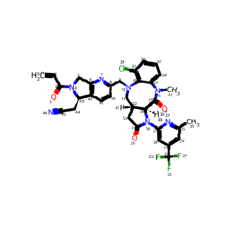 C=CC(=O)N1Cc2nc(CN3C[C@H]4CC(=O)N(c5cc(C(F)(F)F)cc(C)n5)[C@@H]4C(=O)N(C)c4cccc(Cl)c43)ccc2[C@H]1CC#N